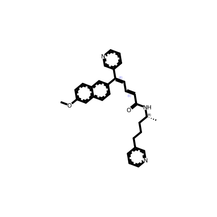 COc1ccc2cc(/C(=C\C=C\C(=O)N[C@H](C)CCCc3cccnc3)c3cccnc3)ccc2c1